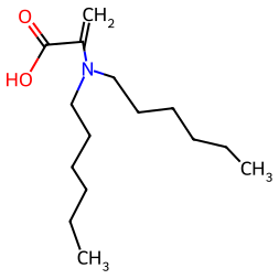 C=C(C(=O)O)N(CCCCCC)CCCCCC